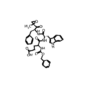 CC1(C(=O)C(Cc2ccccc2)NC(=O)[C@H](Cc2c[nH]c3ccccc23)NC(=O)C(CCC(=O)O)NC(=O)OCc2ccccc2)CO1